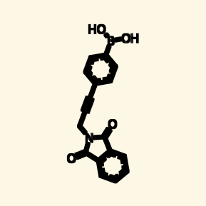 O=C1c2ccccc2C(=O)N1CC#Cc1ccc(B(O)O)cc1